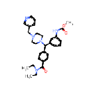 CCN(CC)C(=O)c1ccc(C(c2cccc(NC(=O)OC)c2)N2CCN(Cc3cccnc3)CC2)cc1